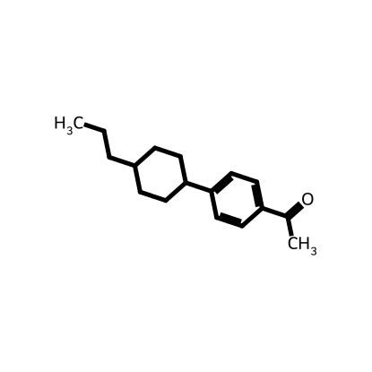 CCCC1CCC(c2ccc(C(C)=O)cc2)CC1